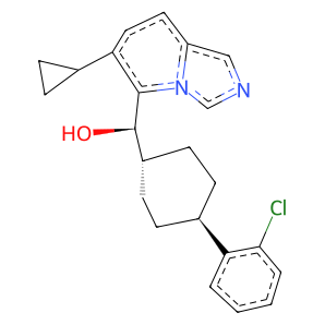 O[C@@H](c1c(C2CC2)ccc2cncn12)[C@H]1CC[C@H](c2ccccc2Cl)CC1